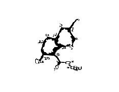 Cc1cnc2c(C(=O)OC(C)(C)C)c(Cl)ccc2c1